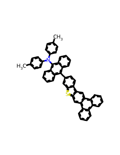 Cc1ccc(N(c2ccc(C)cc2)c2c3ccccc3c(-c3ccc4c(c3)sc3cc5c6ccccc6c6ccccc6c5cc34)c3ccccc23)cc1